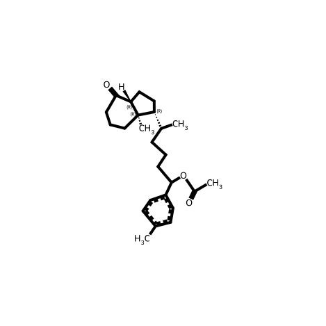 CC(=O)OC(CCCC(C)[C@H]1CC[C@H]2C(=O)CCC[C@]12C)c1ccc(C)cc1